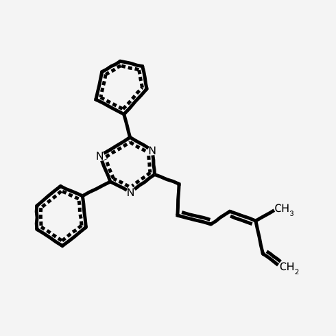 C=C/C(C)=C\C=C/Cc1nc(-c2ccccc2)nc(-c2ccccc2)n1